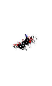 CC(=O)OC1=C(C#N)C[C@]2(C)[C@H]3C(=O)C=C4[C@@H]5CC(C)(C(=O)O)CC[C@]5(C)CC[C@@]4(C)[C@]3(C)CC[C@H]2C1(C)C